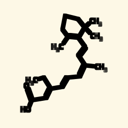 CCC(/C=C/C=C(C)\C=C\C1=C(C)CCCC1(C)C)=C\C(=O)O